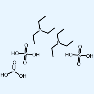 CCP(CC)CC.CCP(CC)CC.O=S(=O)(O)O.O=S(=O)(O)O.O=[PH](O)O